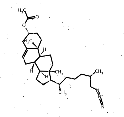 CC(=O)O[C@@H]1CC[C@@]2(C)C(=CC[C@H]3[C@@H]4CC[C@H]([C@H](C)CCCC(C)CN=[N+]=[N-])[C@@]4(C)CC[C@@H]32)C1